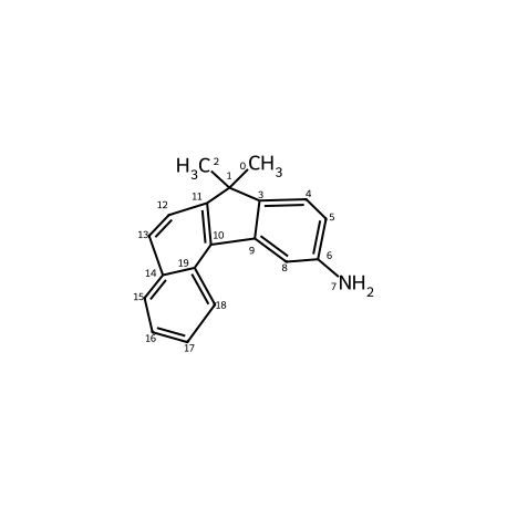 CC1(C)c2ccc(N)cc2-c2c1ccc1ccccc21